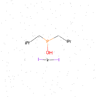 CC(C)CP(O)CC(C)C.[I][Ir][I]